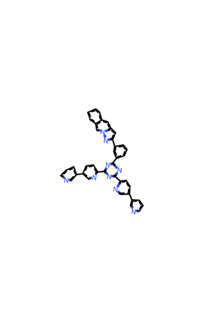 c1cncc(-c2ccc(-c3nc(-c4cccc(-c5cc6cc7ccccc7cn6n5)c4)nc(-c4ccc(-c5cccnc5)cn4)n3)nc2)c1